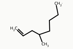 [CH2]CCCC(C)CC=C